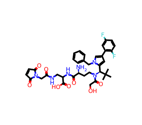 CC(C)(C)[C@H](c1cc(-c2cc(F)ccc2F)cn1Cc1ccccc1)N(CC[C@H](N)C(=O)NC(CNC(=O)CN1C(=O)C=CC1=O)C(=O)O)C(=O)CO